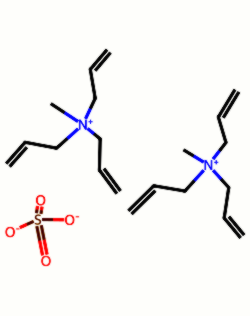 C=CC[N+](C)(CC=C)CC=C.C=CC[N+](C)(CC=C)CC=C.O=S(=O)([O-])[O-]